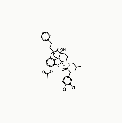 CC(=O)Oc1ccc2c3c1O[C@H]1[C@@H](N(CC(C)C)C(=O)Cc4ccc(Cl)c(Cl)c4)CC[C@@]4(O)[C@@H](C2)N(CCc2ccccc2)CC[C@]314